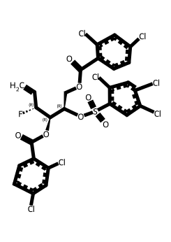 C=C[C@@H](F)[C@H](OC(=O)c1ccc(Cl)cc1Cl)[C@@H](COC(=O)c1ccc(Cl)cc1Cl)OS(=O)(=O)c1cc(Cl)c(Cl)cc1Cl